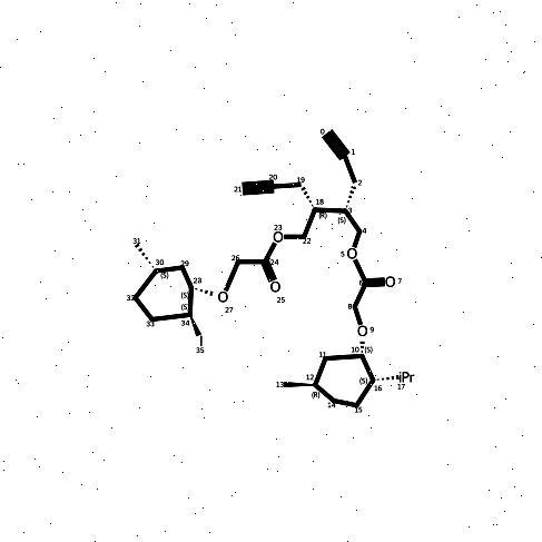 C#CC[C@H](COC(=O)CO[C@H]1C[C@H](C)CC[C@H]1C(C)C)[C@@H](CC#C)COC(=O)CO[C@H]1C[C@@H](C)CC[C@@H]1I